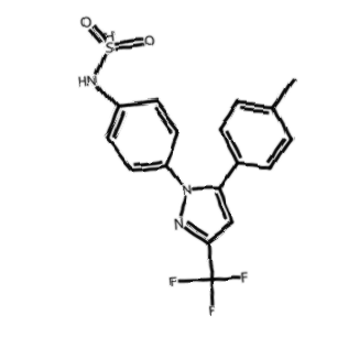 Cc1ccc(-c2cc(C(F)(F)F)nn2-c2ccc(N[SH](=O)=O)cc2)cc1